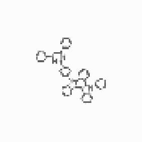 c1ccc(-c2cc(-c3ccccc3)nc(-c3ccc(-n4c5ccccc5c5c6c7ccccc7n(-c7ccccc7)c6c6ccccc6c54)cc3)n2)cc1